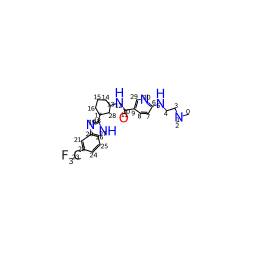 CN(C)CCNc1ccc(C(=O)N[C@@H]2CCC[C@H](c3nc4cc(C(F)(F)F)ccc4[nH]3)C2)cn1